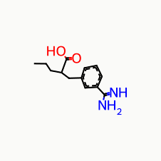 CCCC(Cc1cccc(C(=N)N)c1)C(=O)O